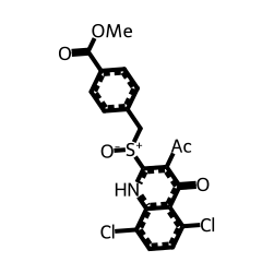 COC(=O)c1ccc(C[S+]([O-])c2[nH]c3c(Cl)ccc(Cl)c3c(=O)c2C(C)=O)cc1